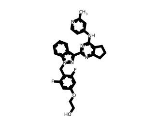 Cc1cc(Nc2nc(-c3nn(Cc4c(F)cc(OCCO)cc4F)c4ccccc34)nc3c2CCC3)ccn1